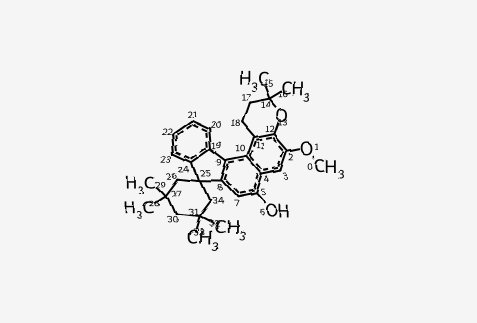 COc1cc2c(O)cc3c(c2c2c1OC(C)(C)CC2)-c1ccccc1C31CC(C)(C)CC(C)(C)C1